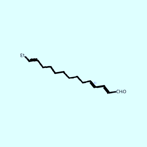 CCC=CCCCCCCC/C=C/C=CC=O